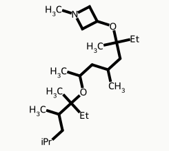 CCC(C)(CC(C)CC(C)OC(C)(CC)C(C)CC(C)C)OC1CN(C)C1